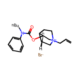 C=CC[N+]12CCC(CC1)[C@@H](OC(=O)N(CCCC)c1ccccc1)C2.[Br-]